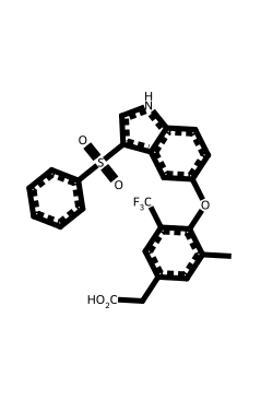 Cc1cc(CC(=O)O)cc(C(F)(F)F)c1Oc1ccc2[nH]cc(S(=O)(=O)c3ccccc3)c2c1